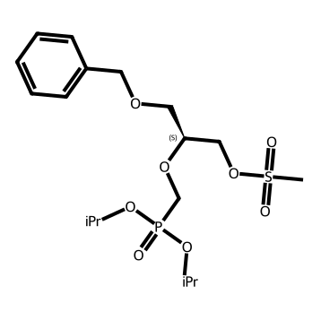 CC(C)OP(=O)(CO[C@@H](COCc1ccccc1)COS(C)(=O)=O)OC(C)C